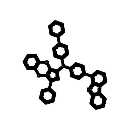 c1ccc(-c2ccc(N(c3ccc(-c4cccc5c4sc4ccccc45)cc3)c3sc(-c4ccccc4)c4c3Oc3ccccc3O4)cc2)cc1